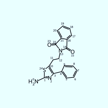 Nc1nc(-c2ccccc2)c(CCN2C(=O)c3ccccc3C2=O)s1